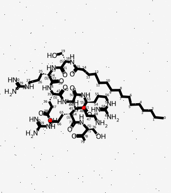 CCCCCCCCCCCCCCCC(=O)N[C@@H](CO)C(=O)N[C@@H](CCCNC(=N)N)C(=O)N[C@@H](CCC(=O)O)C(=O)N[C@@H](CCCCN)C(=O)N[C@@H](CCCNC(=N)N)C(=O)N[C@@H](CCCNC(=N)N)C(=O)N[C@@H](CO)C(C)=O